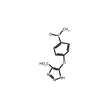 C[S+]([O-])c1ccc(Oc2[nH]nnc2C(=O)O)cc1